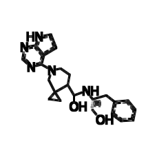 OC[C@@H](Cc1ccccc1)NC(O)C1CCN(c2ncnc3[nH]ccc23)CC12CC2